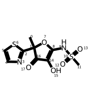 CC1(c2nccs2)OC(NS(C)(=O)=O)=C(O)C1=O